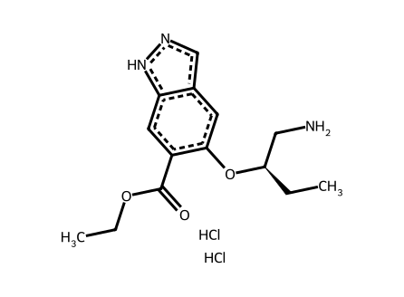 CCOC(=O)c1cc2[nH]ncc2cc1O[C@H](CC)CN.Cl.Cl